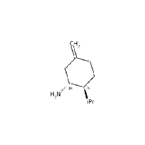 C=C1CC[C@@H](C(C)C)[C@H](N)C1